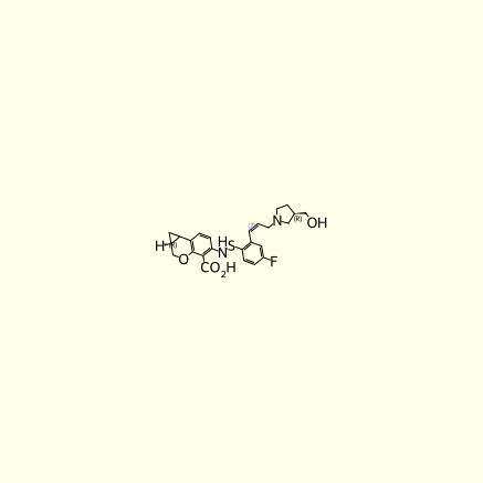 O=C(O)c1c(NSc2ccc(F)cc2/C=C\CN2CC[C@@H](CO)C2)ccc2c1OC[C@@H]1CC21